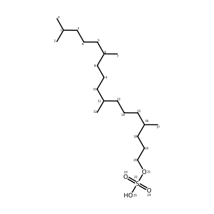 CC(C)CCCC(C)CCCC(C)CCCC(C)CCCOS(=O)(=O)O